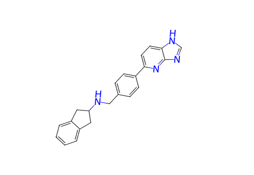 c1ccc2c(c1)CC(NCc1ccc(-c3ccc4[nH]cnc4n3)cc1)C2